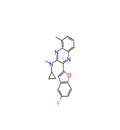 Cc1cccc2nc(-c3cc4cc(F)ccc4o3)c(N(C)C3CC3)nc12